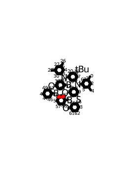 Cc1cc(C)cc(N2c3cc4c(cc3B3c5c2cc(C(C)(C)C)cc5N(c2cc(C)cc(C)c2)c2cc5c6c(c23)Oc2ccccc2B6c2ccccc2O5)B2c3ccccc3Oc3cccc(c32)S4)c1